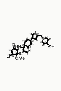 COc1cc(Nc2c(C#N)cnc3cc(-c4csc(CN5CCC(O)CC5)c4)ccc23)c(Cl)cc1Cl